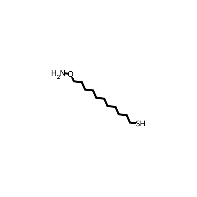 NOCCCCCCCCCCCS